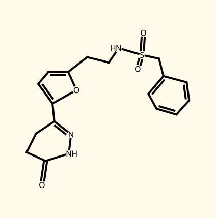 O=C1CCC(c2ccc(CCNS(=O)(=O)Cc3ccccc3)o2)=NN1